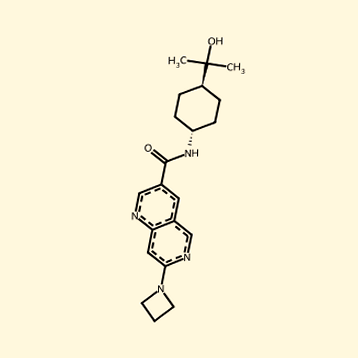 CC(C)(O)[C@H]1CC[C@H](NC(=O)c2cnc3cc(N4CCC4)ncc3c2)CC1